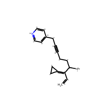 C=CC(=C1CC1)C(CCC)CCC#CCc1ccncc1